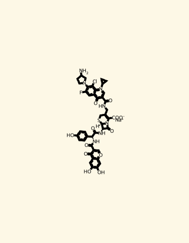 NC1CCN(c2c(F)cc3c(=O)c(C(=O)NCC4=C(C(=O)[O-])N5C(=O)[C@@H](NC(=O)[C@H](NC(=O)c6coc7cc(O)c(O)cc7c6=O)c6ccc(O)cc6)[C@H]5SC4)cn(C4CC4)c3c2Cl)C1.[Na+]